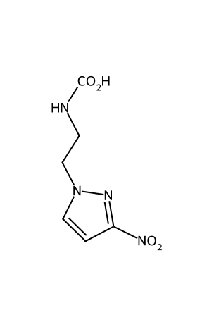 O=C(O)NCCn1ccc([N+](=O)[O-])n1